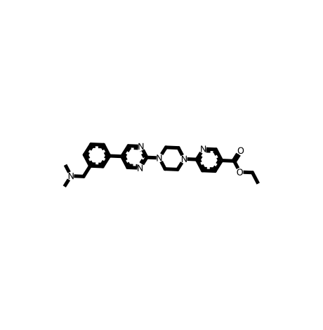 CCOC(=O)c1ccc(N2CCN(c3ncc(-c4cccc(CN(C)C)c4)cn3)CC2)nc1